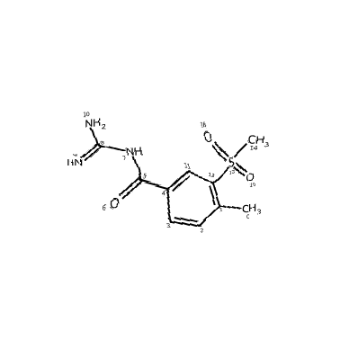 Cc1ccc(C(=O)NC(=N)N)cc1S(C)(=O)=O